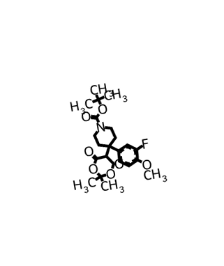 COc1ccc(C2(C3C(=O)OC(C)(C)OC3=O)CCN(C(=O)OC(C)(C)C)CC2)cc1F